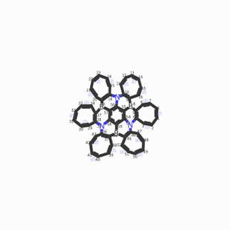 C1=C\C=C/C2=C(\C=C/1)B1C3=C(\C=C/C=C\C=C/3)N3C4=C(\C=C/C=C\C=C/4)B4C5=C(\C=C/C=C\C=C/5)N5C6=C(\C=C/C=C\C=C/6)B6C7=C(\C=C/C=C\C=C/7)N2c2c1c3c4c5c26